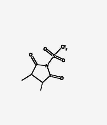 CC1C(=O)N(S(=O)(=O)C(F)(F)F)C(=O)C1C